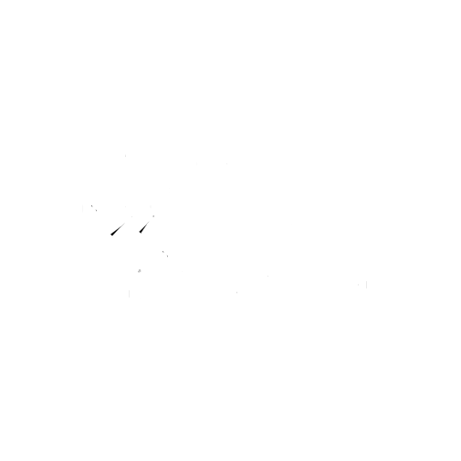 CC1CCC2OCCN3[C@H](C)C[C@@]4(COCCN4)[C@@H]3COC3CCC(CC3)C2C1